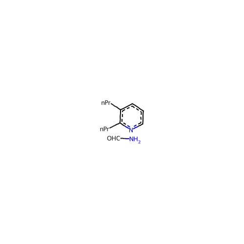 CCCc1cccnc1CCC.NC=O